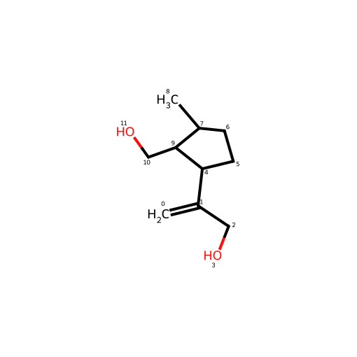 C=C(CO)C1CCC(C)C1CO